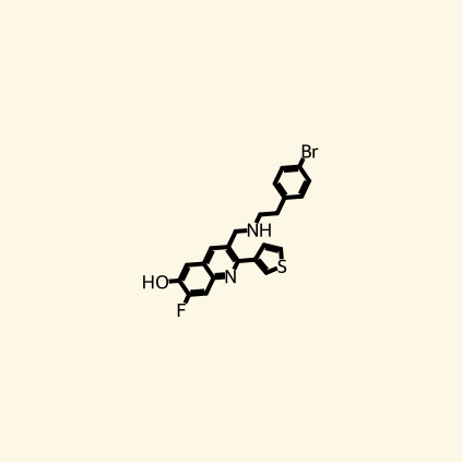 Oc1cc2cc(CNCCc3ccc(Br)cc3)c(-c3ccsc3)nc2cc1F